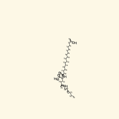 C=C(O)CCCCCCCCCCCCCCCCC(=O)NC(CCC(=C)NCCOCCC)C(=O)O